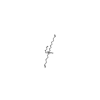 C=CCCCCCCCCCCCC.C=CCCCCCCCCCCCCCCC=C